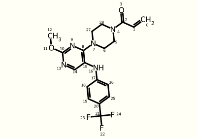 C=CC(=O)N1CCN(c2nc(OC)ncc2Nc2ccc(C(F)(F)F)cc2)CC1